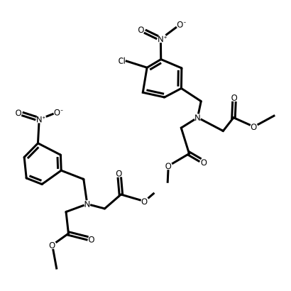 COC(=O)CN(CC(=O)OC)Cc1ccc(Cl)c([N+](=O)[O-])c1.COC(=O)CN(CC(=O)OC)Cc1cccc([N+](=O)[O-])c1